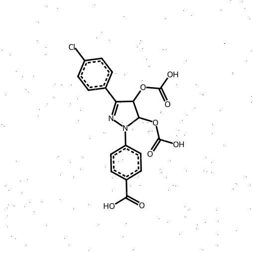 O=C(O)OC1C(c2ccc(Cl)cc2)=NN(c2ccc(C(=O)O)cc2)C1OC(=O)O